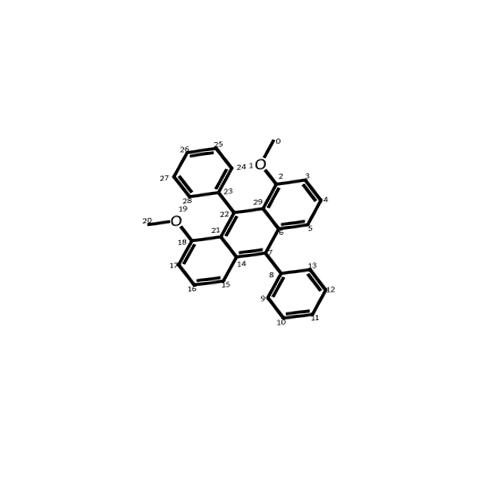 COc1cccc2c(-c3ccccc3)c3cccc(OC)c3c(-c3ccccc3)c12